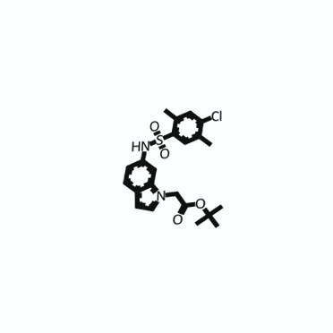 Cc1cc(S(=O)(=O)Nc2ccc3ccn(CC(=O)OC(C)(C)C)c3c2)c(C)cc1Cl